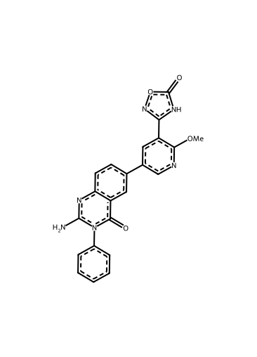 COc1ncc(-c2ccc3nc(N)n(-c4ccccc4)c(=O)c3c2)cc1-c1noc(=O)[nH]1